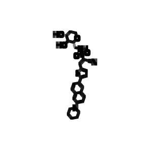 N#C/C(=C\c1ccc(-c2ccc3cc(N4CCCCC4)ccc3c2)s1)S(=O)(=O)NC[C@H]1OCC[C@@H](O)[C@@H]1O